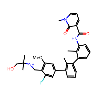 COc1cc(-c2cccc(-c3cccc(NC(=O)c4cccn(C)c4=O)c3C)c2C)cc(F)c1CNC(C)(C)CO